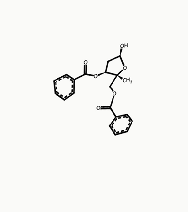 C[C@]1(COC(=O)c2ccccc2)O[C@H](O)C[C@@H]1OC(=O)c1ccccc1